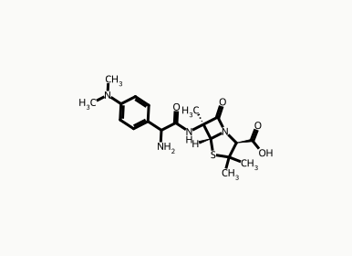 CN(C)c1ccc(C(N)C(=O)N[C@@]2(C)C(=O)N3[C@@H](C(=O)O)C(C)(C)S[C@@H]32)cc1